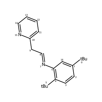 CC(C)(C)c1ccc(C(C)(C)C)c(N=CCc2ccccn2)c1